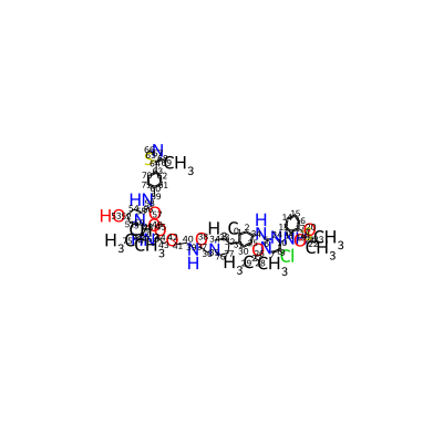 Cc1cc(Nc2ncc(Cl)c(Nc3ccccc3S(=O)(=O)C(C)C)n2)c(OC(C)C)cc1C1CCN(CC(=O)NCCOCC(=O)N[C@H](C(=O)N2C[C@H](O)C[C@H]2C(=O)NCc2ccc(-c3scnc3C)cc2)C(C)(C)C)CC1